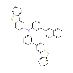 c1cc(-c2ccc3ccccc3c2)cc(N(c2cccc(-c3ccc4sc5ccccc5c4c3)c2)c2ccc3sc4ccccc4c3c2)c1